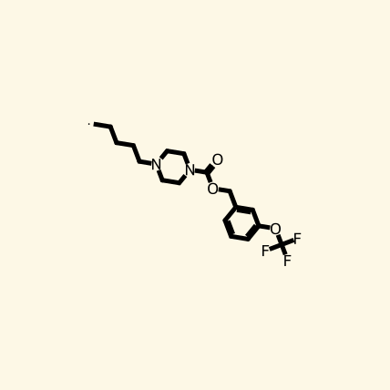 [CH2]CCCCN1CCN(C(=O)OCc2cccc(OC(F)(F)F)c2)CC1